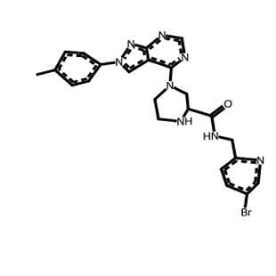 Cc1ccc(-n2cc3c(N4CCNC(C(=O)NCc5ccc(Br)cn5)C4)ncnc3n2)cc1